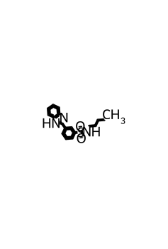 CCCCCNS(=O)(=O)c1cccc(-c2nc3ccccc3[nH]2)c1